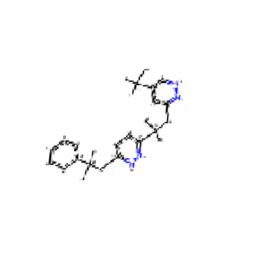 CC(C)(C)c1cnnc(CC(C)(C)c2ccc(CC(C)(C)c3ccccc3)nn2)c1